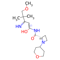 COCC(C)(C)C(=N)/C=C(\O)NC(=O)[C@@H]1CCN1C1CCOCC1